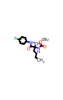 C=CCCC(C)(NC(=O)OC(C)(C)C)C(=O)Nc1ccc(F)cc1